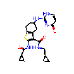 O=C(NCC1CC1)c1c(NC(=O)C2CC2)sc2c1CC(Nc1nc(=O)cc[nH]1)CC2